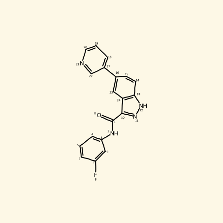 O=C(Nc1cccc(F)c1)c1n[nH]c2ccc(-c3cccnc3)cc12